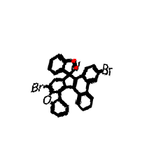 Brc1ccc2c3c(c4ccccc4c2c1)-c1c(cc(Br)c2oc4ccccc4c12)C31c2ccccc2-c2cccnc21